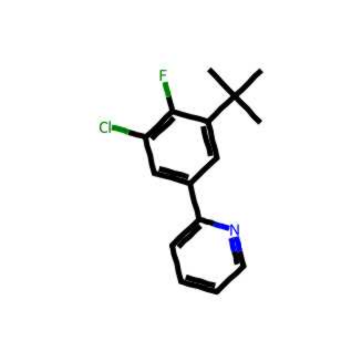 CC(C)(C)c1cc(-c2ccccn2)cc(Cl)c1F